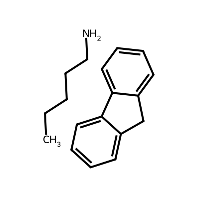 CCCCCN.c1ccc2c(c1)Cc1ccccc1-2